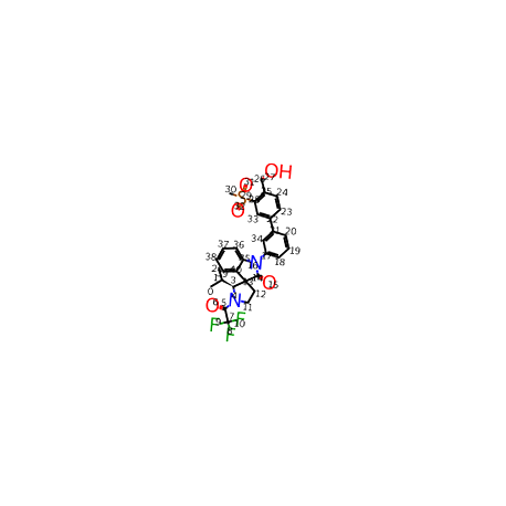 CC(C)[C@@H]1N(C(=O)C(F)(F)F)CCC12C(=O)N(c1cccc(-c3ccc(CO)c(S(C)(=O)=O)c3)c1)c1ccccc12